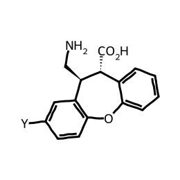 NC[C@@H]1c2c[c]([Y])ccc2Oc2ccccc2[C@H]1C(=O)O